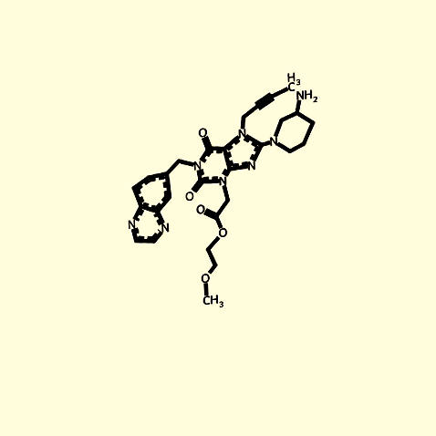 CC#CCn1c(N2CCCC(N)C2)nc2c1c(=O)n(Cc1ccc3nccnc3c1)c(=O)n2CC(=O)OCCOC